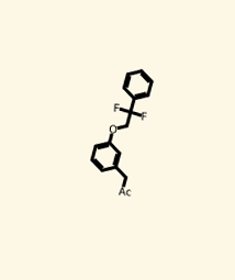 CC(=O)Cc1cccc(OCC(F)(F)c2ccccc2)c1